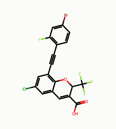 O=C(O)C1=Cc2cc(Cl)cc(C#Cc3ccc(Br)cc3F)c2OC1C(F)(F)F